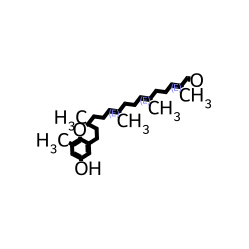 C/C(C=O)=C\CC/C(C)=C/CC/C(C)=C/CCC1(C)CCc2cc(O)cc(C)c2O1